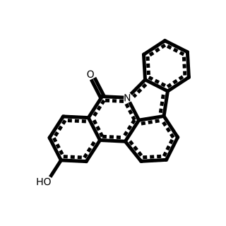 O=c1c2ccc(O)cc2c2cccc3c4ccccc4n1c23